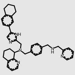 c1ccc(CNCc2ccc(CN(Cc3ncc(-c4ccc5c(c4)CCCC5)[nH]3)C3CCCc4cccnc43)cc2)nc1